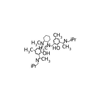 C/C(=N\CC(C)C)c1cc(C)cc(CN(C)C2CCCCC2N(C)Cc2cc(C)cc(/C(C)=N/CC(C)C)c2O)c1O